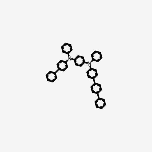 c1ccc(-c2ccc(-c3ccc(N(c4ccccc4)c4ccc(N(c5ccccc5)c5ccc(-c6ccccc6)cc5)cc4)cc3)cc2)cc1